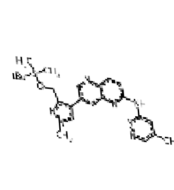 Cc1cnnc(Nc2ccc3ncc(-c4cn(C)nc4CO[Si](C)(C)C(C)(C)C)cc3n2)c1